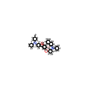 Cc1ccc(N(c2ccccc2)c2ccc3c(c2)oc2cc4c(cc23)Oc2cccc3c2B4c2c(ccc4ccccc24)N3c2ccccc2)cc1